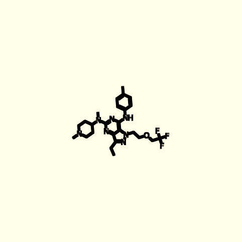 CCc1nn(CCOCC(F)(F)F)c2c(Nc3ccc(C)cc3)nc(N(C)C3CCN(C)CC3)nc12